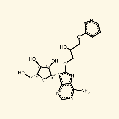 Nc1ncnc2c1nc(OCC(O)COc1cccnc1)n2[C@@H]1O[C@H](CO)[C@@H](O)[C@H]1O